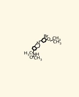 CC(=O)NC(C)c1ccc2c(c1)CCN(Cc1ccc(OCC(C)C)c(Br)c1)C2